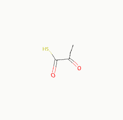 CC(=O)C(=O)S